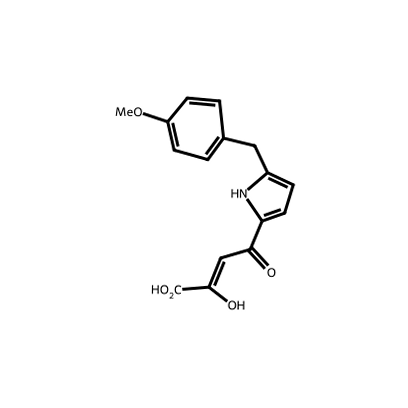 COc1ccc(Cc2ccc(C(=O)C=C(O)C(=O)O)[nH]2)cc1